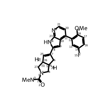 CNC(=O)N1C[C@@H]2CC(c3cc4c(-c5cc(F)ccc5OC)ccnc4[nH]3)=C[C@@H]2C1